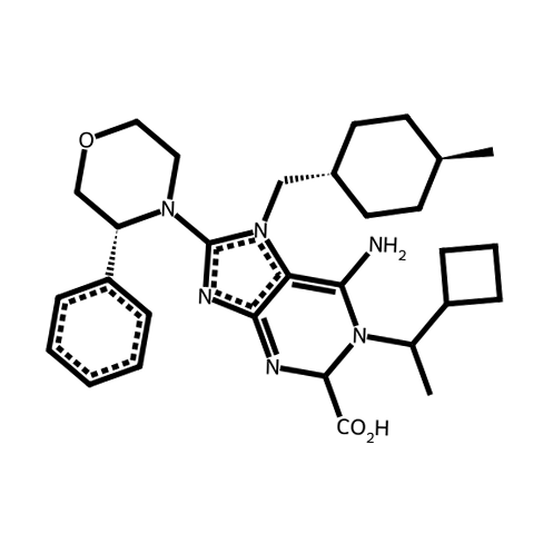 CC(C1CCC1)N1C(N)=c2c(nc(N3CCOC[C@H]3c3ccccc3)n2C[C@H]2CC[C@H](C)CC2)=NC1C(=O)O